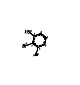 Sc1cccc(Br)c1Br